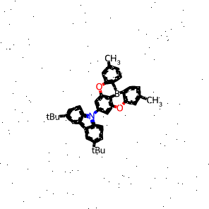 Cc1ccc2c(c1)Oc1cc(-n3c4ccc(C(C)(C)C)cc4c4cc(C(C)(C)C)ccc43)cc3c1B2c1ccc(C)cc1O3